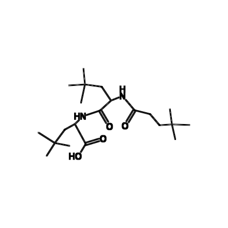 CC(C)(C)CCC(=O)NC(CC(C)(C)C)C(=O)NC(CC(C)(C)C)C(=O)O